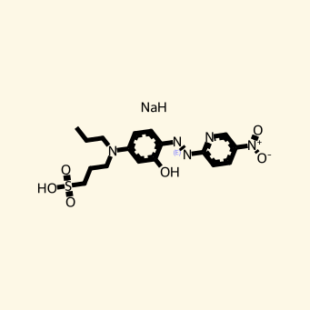 CCCN(CCCS(=O)(=O)O)c1ccc(/N=N/c2ccc([N+](=O)[O-])cn2)c(O)c1.[NaH]